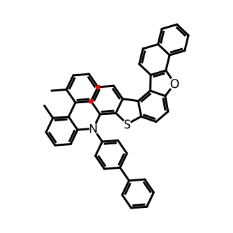 Cc1ccccc1-c1c(C)cccc1N(c1ccc(-c2ccccc2)cc1)c1cccc2c1sc1ccc3oc4c5ccccc5ccc4c3c12